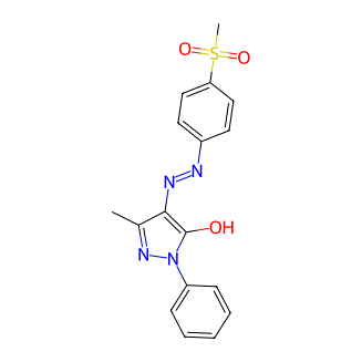 Cc1nn(-c2ccccc2)c(O)c1N=Nc1ccc(S(C)(=O)=O)cc1